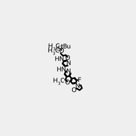 CC1Oc2cc(N3CCCC3=O)c(F)cc2-c2cnc(Nc3cnc4c(c3)NC(CO[Si](C)(C)C(C)(C)C)CO4)cc21